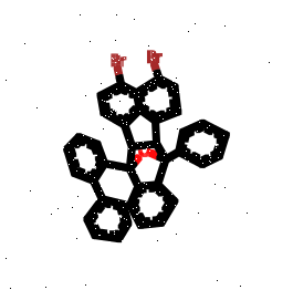 Brc1ccc2c3c(ccc(Br)c13)C1C2C2(c3ccccc3)OC1(c1ccccc1-c1ccccc1)c1ccccc12